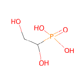 O=P(O)(O)C(O)CO